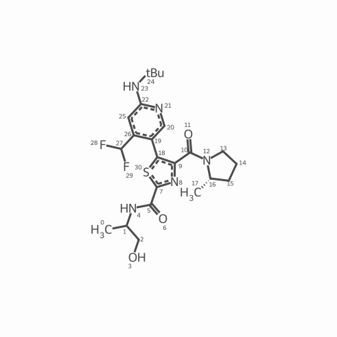 CC(CO)NC(=O)c1nc(C(=O)N2CCC[C@@H]2C)c(-c2cnc(NC(C)(C)C)cc2C(F)F)s1